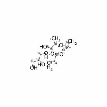 C=C(C)C(=O)O.C=CCOCC=C.OCC(O)CO